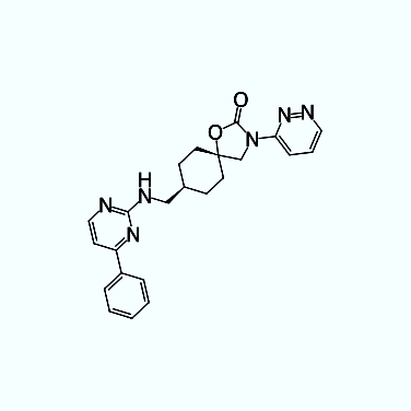 O=C1O[C@]2(CC[C@H](CNc3nccc(-c4ccccc4)n3)CC2)CN1c1cccnn1